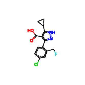 O=C(O)c1c(-c2ccc(Cl)cc2CF)n[nH]c1C1CC1